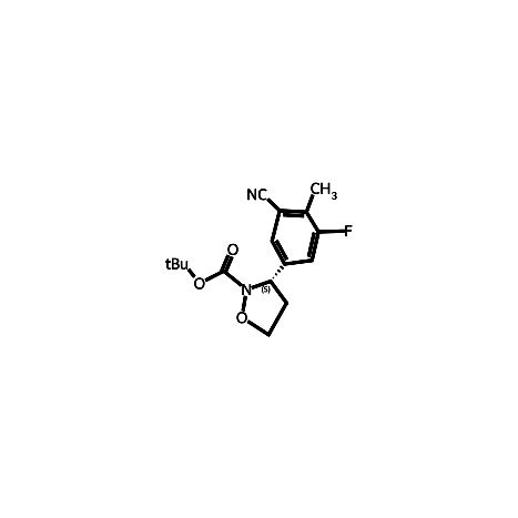 Cc1c(F)cc([C@@H]2CCON2C(=O)OC(C)(C)C)cc1C#N